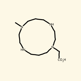 CN1CCCNCCN(CC(=O)O)CCCNCC1